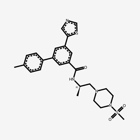 Cc1ccc(-c2cc(C(=O)N[C@H](C)CN3CCN(S(C)(=O)=O)CC3)cc(-c3cncs3)c2)cc1